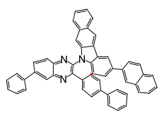 c1ccc(-c2ccc(-c3nc4cc(-c5ccccc5)ccc4nc3-n3c4ccc(-c5ccc6ccccc6c5)cc4c4cc5ccccc5cc43)cc2)cc1